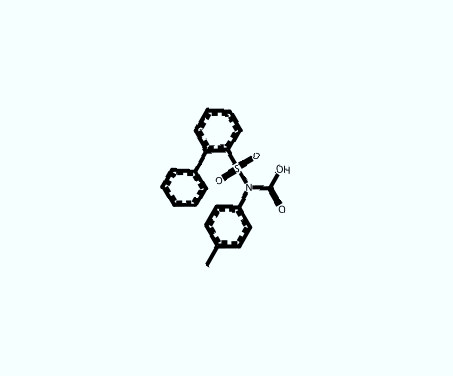 Cc1ccc(N(C(=O)O)S(=O)(=O)c2ccccc2-c2ccccc2)cc1